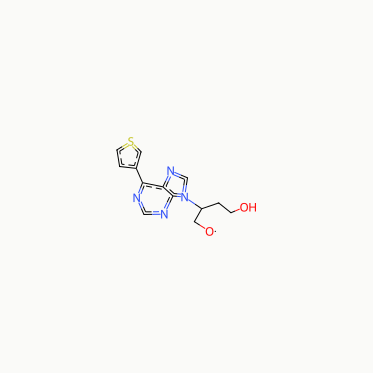 [O]CC(CCO)n1cnc2c(-c3ccsc3)ncnc21